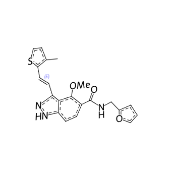 COc1c(C(=O)NCc2ccco2)ccc2[nH]nc(/C=C/c3sccc3C)c12